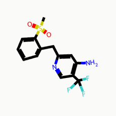 CS(=O)(=O)c1ccccc1Cc1cc(N)c(C(F)(F)F)cn1